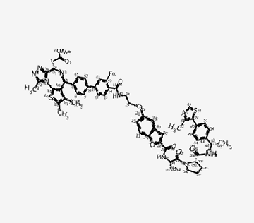 COC(=O)C[C@@H]1N=C(c2ccc(-c3ccc(C(=O)NCCOc4ccc5oc(C(=O)NC(C(=O)N6CCC[C@H]6C(=O)N[C@@H](C)c6ccc(-c7scnc7C)cc6)C(C)(C)C)cc5c4)c(F)c3)cc2)c2c(sc(C)c2C)-n2c(C)nnc21